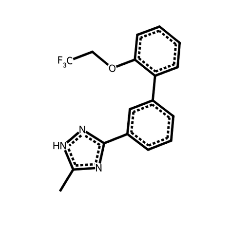 Cc1nc(-c2cccc(-c3ccccc3OCC(F)(F)F)c2)n[nH]1